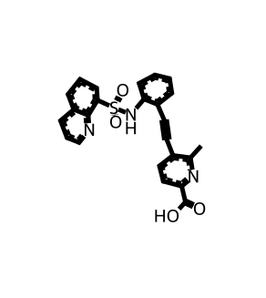 Cc1nc(C(=O)O)ccc1C#Cc1ccccc1NS(=O)(=O)c1cccc2cccnc12